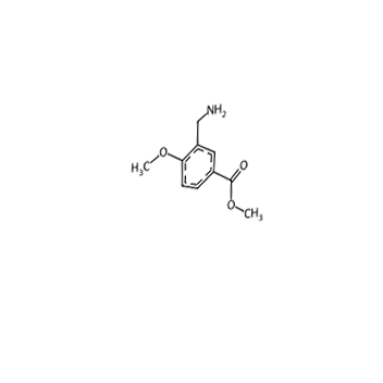 COC(=O)c1ccc(OC)c(CN)c1